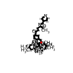 COc1cc2cc(C(=O)CCc3nc(-c4ccncc4)oc3C)ccc2nc1C(C[P]1(O)N(C)CC(C)(C)CN1C)[P]1(O)N(C)CC(C)(C)CN1C